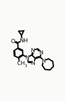 Cc1ccc(C(=O)NC2CC2)cc1-n1cnc2c(N3CCCCCC3)ncnc21